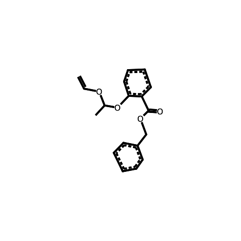 C=COC(C)Oc1ccccc1C(=O)OCc1ccccc1